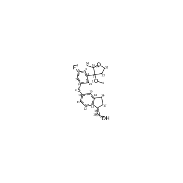 COC1(c2cc(F)cc(Sc3ccc4c(c3)CCC4=NO)c2)CCOC1C